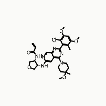 C=CC(=O)N[C@H]1COC[C@H]1Nc1cc2c(N3CCC(C)(OC)CC3)nc(-c3c(C)c(OC)cc(OC)c3Cl)nc2cn1